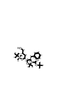 CC(C)(C)OC(=O)N1[C@H](Cc2ccccc2)[C@@H](C(CCCO)O[Si](C)(C)C(C)(C)C)OC1(C)C